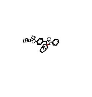 CC(C(=O)c1ccc(O[Si](C)(C)C(C)(C)C)cc1)N1C2CCC1CC(Sc1ccccc1)C2